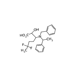 CC(c1ccccc1)N(Cc1ccccc1)C(CCC(C)(F)F)C(O)C(=O)O